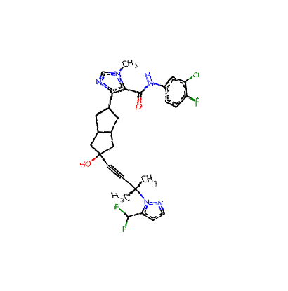 Cn1cnc(C2CC3CC(O)(C#CC(C)(C)n4nccc4C(F)F)CC3C2)c1C(=O)Nc1ccc(F)c(Cl)c1